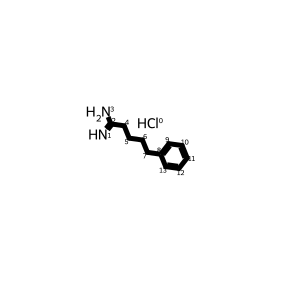 Cl.N=C(N)CCCCc1ccccc1